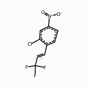 O=[N+]([O-])c1ccc(/C=C/C(F)(F)F)c(Cl)c1